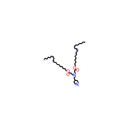 CCCCC/C=C\C/C=C\CCCCCCCCOC(=O)CCN(CCC(=O)OCCCCCCCC/C=C\C/C=C\CCCCC)CCC1CCN(C)CC1